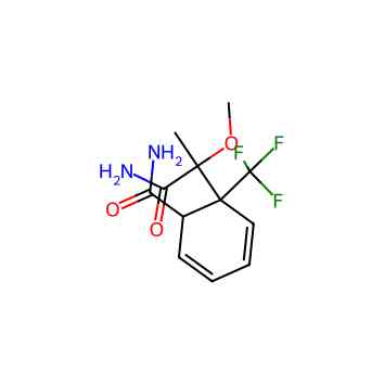 COC(C)(C(N)=O)C1(C(F)(F)F)C=CC=CC1C(N)=O